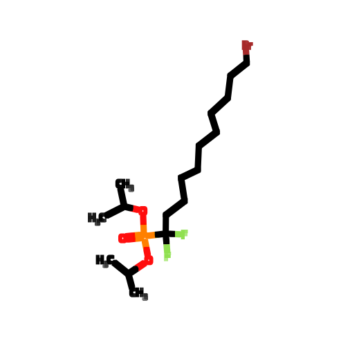 CC(C)OP(=O)(OC(C)C)C(F)(F)CCCCCCCCCCBr